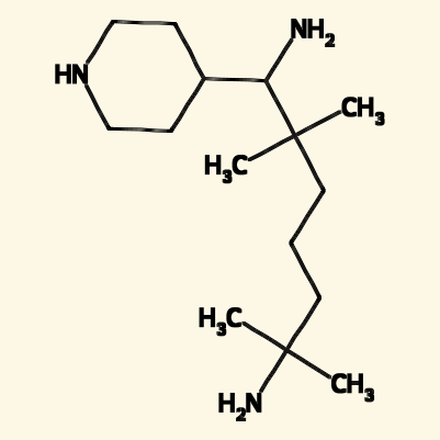 CC(C)(N)CCCC(C)(C)C(N)C1CCNCC1